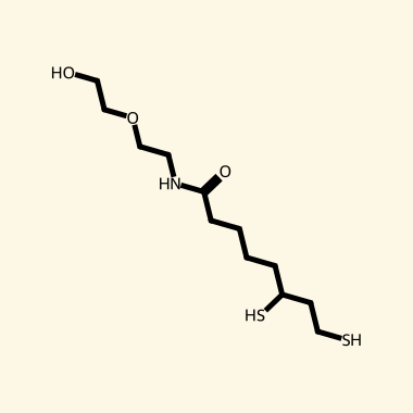 O=C(CCCCC(S)CCS)NCCOCCO